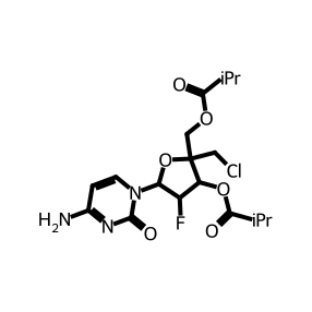 CC(C)C(=O)OCC1(CCl)OC(n2ccc(N)nc2=O)C(F)C1OC(=O)C(C)C